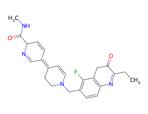 CCC1=Nc2ccc(CN3C=CC(=C4C=CC(C(=O)NC)N=C4)CC3)c(F)c2CC1=O